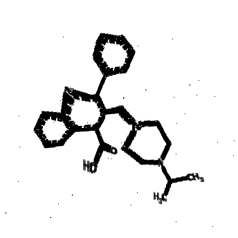 CC(C)N1CCN(Cc2c(-c3ccccc3)nc3ccccc3c2C(=O)O)CC1